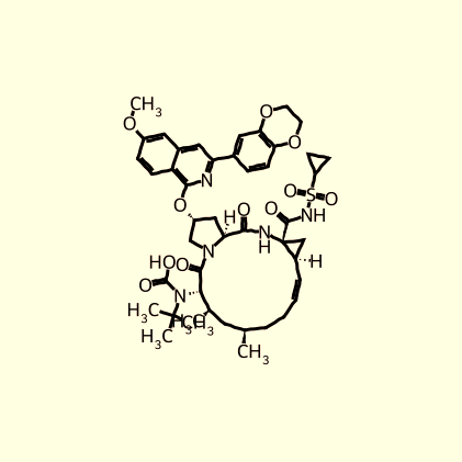 COc1ccc2c(O[C@@H]3C[C@H]4C(=O)N[C@]5(C(=O)NS(=O)(=O)C6CC6)C[C@H]5/C=C\CC[C@@H](C)C[C@@H](C)[C@H](N(C(=O)O)C(C)(C)C)C(=O)N4C3)nc(-c3ccc4c(c3)OCCO4)cc2c1